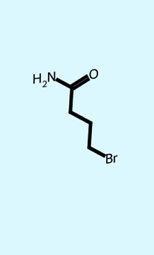 NC(=O)CCCBr